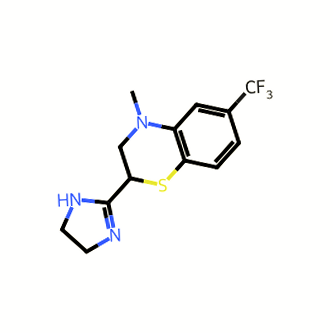 CN1CC(C2=NCCN2)Sc2ccc(C(F)(F)F)cc21